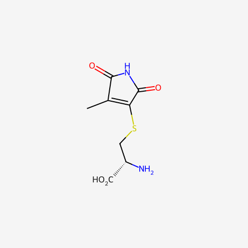 CC1=C(SC[C@H](N)C(=O)O)C(=O)NC1=O